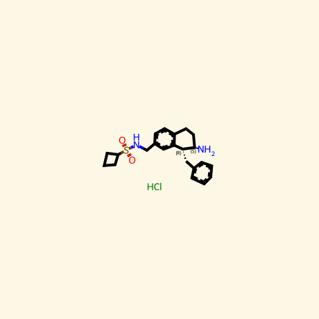 Cl.N[C@H]1CCc2ccc(CNS(=O)(=O)C3CCC3)cc2[C@H]1Cc1ccccc1